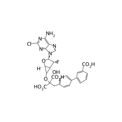 Nc1nc(Cl)nc2c1ncn2[C@@H]1O[C@@H]2C(OC(Cc3ccc(-c4cccc(C(=O)O)c4)cc3)(C(=O)O)C(=O)O)[C@]2(O)[C@@H]1F